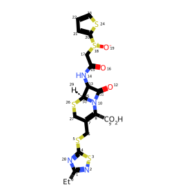 CCc1nsc(SCC2=C(C(=O)O)N3C(=O)C(NC(=O)C[S+]([O-])c4cccs4)[C@@H]3SC2)n1